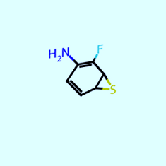 NC1=C(F)C2SC2C=C1